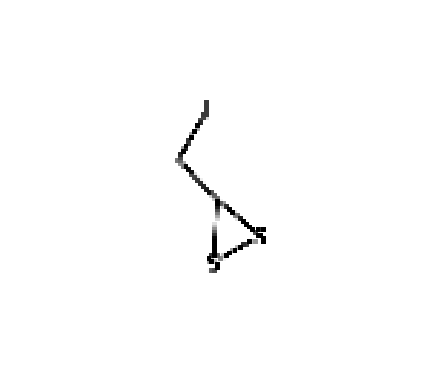 ICC1SS1